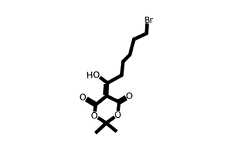 CC1(C)OC(=O)C(=C(O)CCCCCBr)C(=O)O1